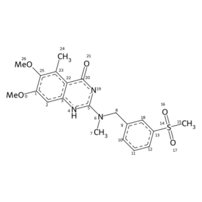 COc1cc2[nH]c(N(C)Cc3cccc(S(C)(=O)=O)c3)nc(=O)c2c(C)c1OC